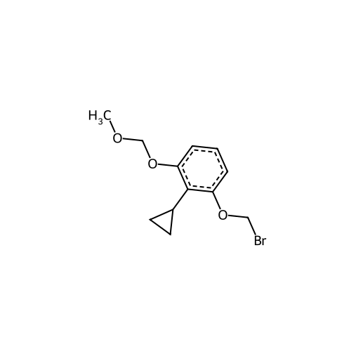 COCOc1cccc(OCBr)c1C1CC1